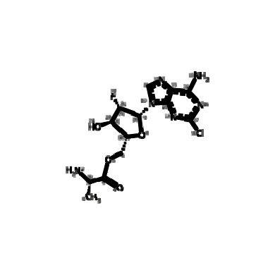 C[C@H](N)C(=O)OC[C@H]1O[C@@H](n2cnc3c(N)nc(Cl)nc32)[C@@H](F)[C@@H]1O